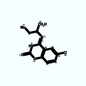 CC(C)(C)CC(/N=c1\[nH]c(=O)oc2ccc(Cl)cc12)C(=O)O